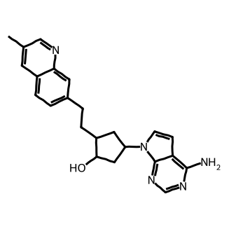 Cc1cnc2cc(CCC3CC(n4ccc5c(N)ncnc54)CC3O)ccc2c1